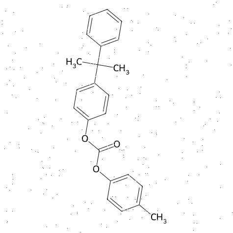 Cc1ccc(OC(=O)Oc2ccc(C(C)(C)c3ccccc3)cc2)cc1